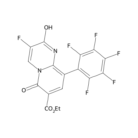 CCOC(=O)c1cc(-c2c(F)c(F)c(F)c(F)c2F)c2nc(O)c(F)cn2c1=O